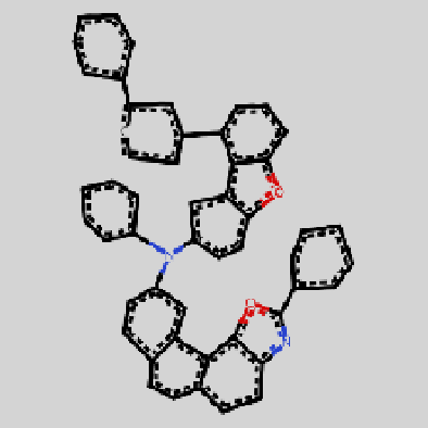 c1ccc(-c2cccc(-c3cccc4oc5ccc(N(c6ccccc6)c6ccc7ccc8ccc9nc(-c%10ccccc%10)oc9c8c7c6)cc5c34)c2)cc1